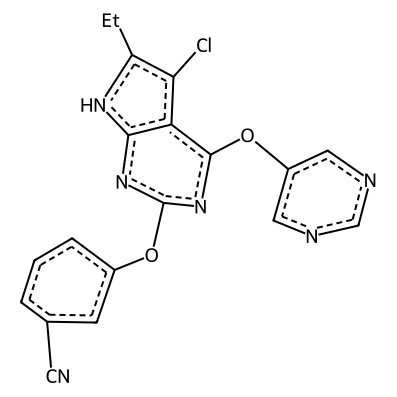 CCc1[nH]c2nc(Oc3cccc(C#N)c3)nc(Oc3cncnc3)c2c1Cl